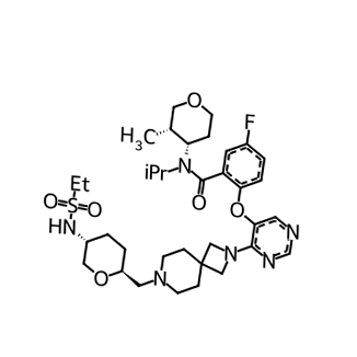 CCS(=O)(=O)N[C@@H]1CC[C@@H](CN2CCC3(CC2)CN(c2ncncc2Oc2ccc(F)cc2C(=O)N(C(C)C)[C@H]2CCOC[C@H]2C)C3)OC1